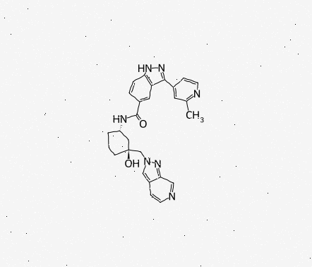 Cc1cc(-c2n[nH]c3ccc(C(=O)N[C@H]4CCC[C@@](O)(Cn5cc6ccncc6n5)C4)cc23)ccn1